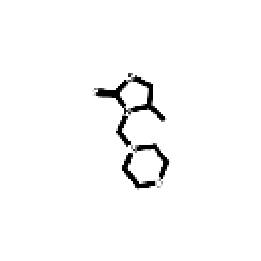 CC1CSC(=S)N1CN1CCOCC1